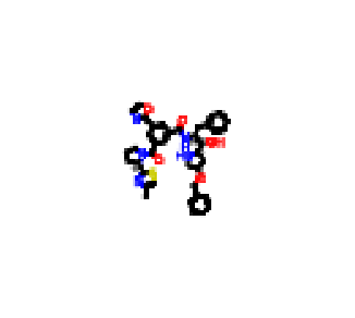 Cc1csc([C@H]2CCCN2C(=O)c2cc(C(=O)N[C@@H](Cc3ccccc3)[C@H](O)[C@H]3C[C@@H](OCc4ccccc4)CN3)cc(-c3ncco3)c2)n1